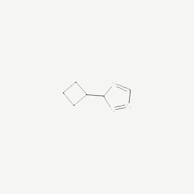 C1=N[C](C2CCC2)N=N1